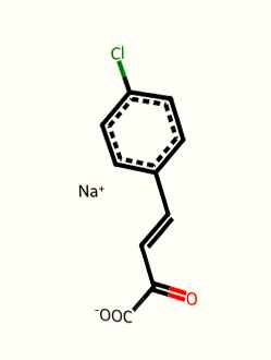 O=C([O-])C(=O)C=Cc1ccc(Cl)cc1.[Na+]